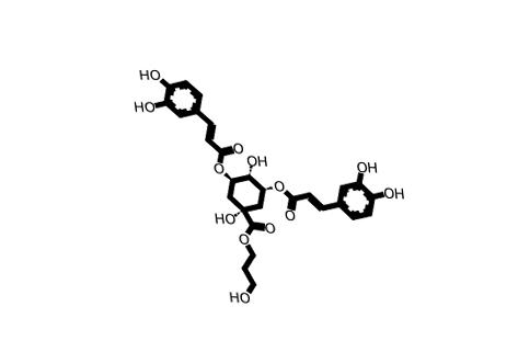 O=C(/C=C/c1ccc(O)c(O)c1)O[C@@H]1C[C@](O)(C(=O)OCCCO)C[C@@H](OC(=O)/C=C/c2ccc(O)c(O)c2)[C@H]1O